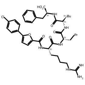 CC[C@H](C)[C@H](NC(=O)[C@H](CC(C)C)NC(=O)[C@H](CCCCNC(=N)N)NC(=O)c1ccc(-c2ccc(Cl)cc2)o1)C(=O)N[C@@H](Cc1ccccc1)C(=O)O